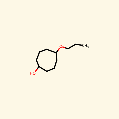 CCCOC1CCCC(O)CCC1